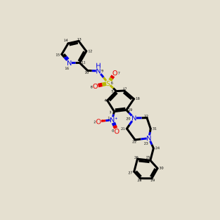 O=[N+]([O-])c1cc(S(=O)(=O)NCc2ccccn2)ccc1N1CCN(Cc2ccccc2)CC1